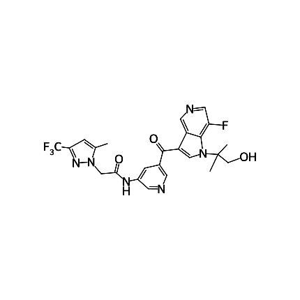 Cc1cc(C(F)(F)F)nn1CC(=O)Nc1cncc(C(=O)c2cn(C(C)(C)CO)c3c(F)cncc23)c1